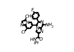 Cc1cnc2c(Cl)cc(-c3c(-c4ccc(F)cc4)nc(N)c4nc(C(=O)NC(C)C)cn34)cn12